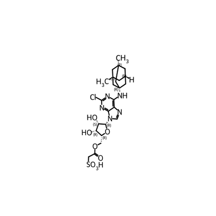 C[C@]12C[C@@H]3C[C@](C)(C1)C[C@@](Nc1nc(Cl)nc4c1ncn4[C@@H]1O[C@H](COC(=O)CS(=O)(=O)O)[C@H](O)[C@@H]1O)(C3)C2